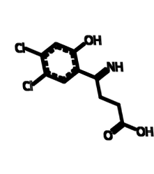 N=C(CCC(=O)O)c1cc(Cl)c(Cl)cc1O